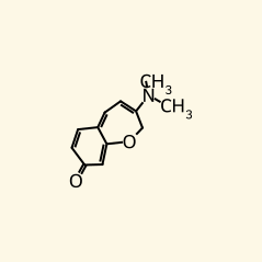 CN(C)C1=CC=C2C=CC(=O)C=C2OC1